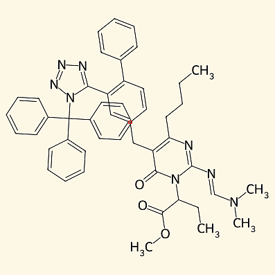 CCCCc1nc(N=CN(C)C)n(C(CC)C(=O)OC)c(=O)c1Cc1ccc(-c2ccccc2)c(-c2nnnn2C(c2ccccc2)(c2ccccc2)c2ccccc2)c1